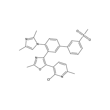 Cc1ccc(-c2oc(C)nc2-c2cc(-c3cccc(S(C)(=O)=O)c3)ccc2-n2cc(C)nc2C)c(Cl)n1